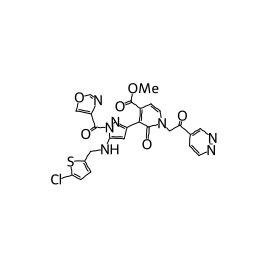 COC(=O)c1ccn(CC(=O)c2ccnnc2)c(=O)c1-c1cc(NCc2ccc(Cl)s2)n(C(=O)c2cocn2)n1